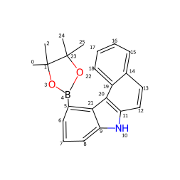 CC1(C)OB(c2cccc3[nH]c4ccc5ccccc5c4c23)OC1(C)C